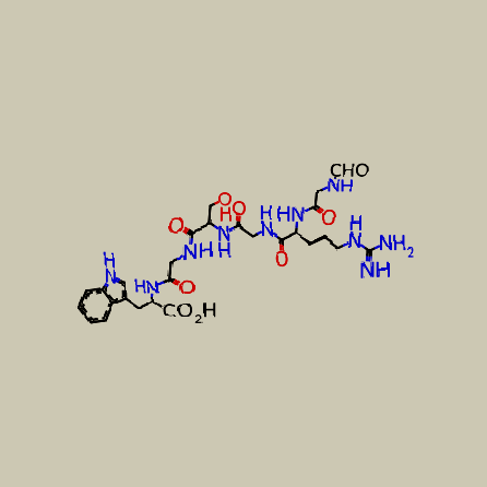 N=C(N)NCCC[C@H](NC(=O)CNC=O)C(=O)NCC(=O)NC(CO)C(=O)NCC(=O)NC(Cc1c[nH]c2ccccc12)C(=O)O